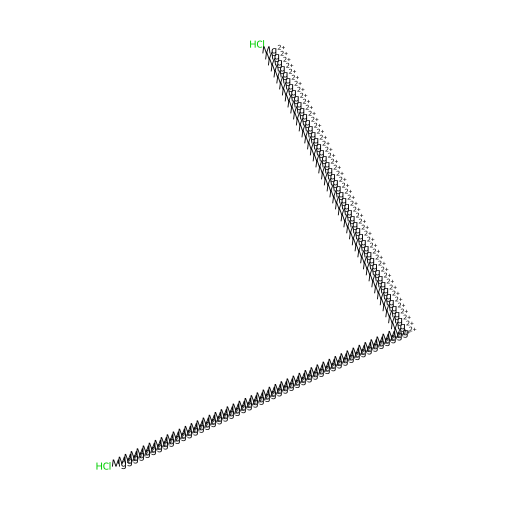 Cl.Cl.[Mg+2].[Mg+2].[Mg+2].[Mg+2].[Mg+2].[Mg+2].[Mg+2].[Mg+2].[Mg+2].[Mg+2].[Mg+2].[Mg+2].[Mg+2].[Mg+2].[Mg+2].[Mg+2].[Mg+2].[Mg+2].[Mg+2].[Mg+2].[Mg+2].[Mg+2].[Mg+2].[Mg+2].[Mg+2].[Mg+2].[Mg+2].[Mg+2].[Mg+2].[Mg+2].[Mg+2].[Mg+2].[Mg+2].[Mg+2].[Mg+2].[Mg+2].[Mg+2].[Mg+2].[Mg+2].[Mg+2].[Mg+2].[Mg+2].[Mg+2].[Mg+2].[Mg+2].[Mg+2].[Mg+2].[Mg+2].[Mg+2].[Mg+2].[Mg+2].[Mg+2].[Mg+2].[Mg+2].[Mg+2].[Mg+2].[Mg+2].[Mg+2].[Mg+2].[Mg+2].[Mg+2].[Mg+2].[Mg+2].[Mg+2].[Mg+2].[Mg+2].[Mg+2].[Mg+2].[Mg+2].[Mg+2].[Mg+2].[Mg+2].[Mg+2].[Mg+2].[Mg+2].[Mg+2].[Mg+2].[Mg+2].[Mg+2].[Mg+2].[Mg+2].[Mg+2].[Mg+2].[Mg+2].[Mg+2].[Mg+2].[Mg+2].[Mg+2].[Mg+2].[Mg+2].[Mg+2].[Mg+2].[Mg+2].[Mg+2].[Mg+2]